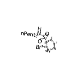 CCCCCNS(=O)(=O)c1cccnc1Br